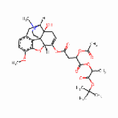 COc1ccc2c3c1O[C@H]1C(OC(=O)CC(OC(C)=O)C(=O)OC(C)C(=O)OC(C)(C)C)=CC[C@@]4(O)[C@@H](C2)N(C)CC[C@]314